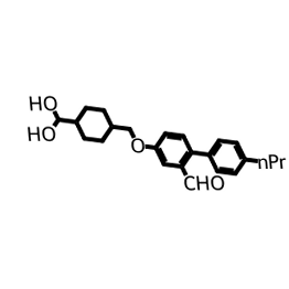 CCCc1ccc(-c2ccc(OCC3CCC(C(O)O)CC3)cc2C=O)cc1